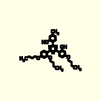 CCCCOc1ccc(-c2nc(-c3ccc(C)cc3O)nc(-c3ccc(OCCCC)cc3OCCCC)n2)c(O)c1